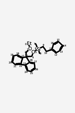 CCOCC1(CO[Si](C)(C)CCc2ccccc2)c2ccccc2-c2ccccc21